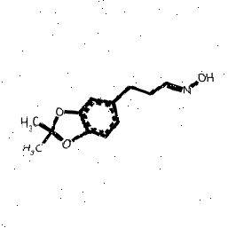 CC1(C)Oc2ccc(CC/C=N/O)cc2O1